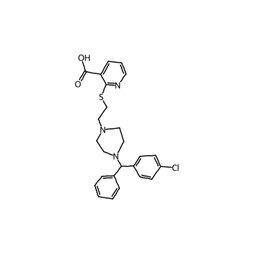 O=C(O)c1cccnc1SCCN1CCN(C(c2ccccc2)c2ccc(Cl)cc2)CC1